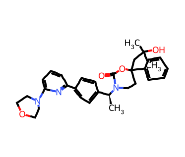 C[C@@H](c1ccc(-c2cccc(N3CCOCC3)n2)cc1)N1CCC(CC(C)(C)O)(c2ccccc2)OC1=O